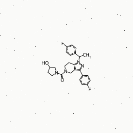 CC(c1ccc(F)cc1)n1nc(-c2ccc(F)cc2)c2c1CCN(C(=O)N1CCC(O)C1)C2